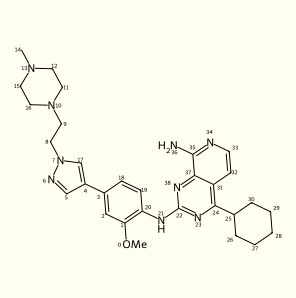 COc1cc(-c2cnn(CCN3CCN(C)CC3)c2)ccc1Nc1nc(C2CCCCC2)c2ccnc(N)c2n1